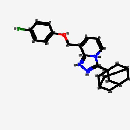 Fc1ccc(OCc2cccn3c(C45CC6CC(CC(C6)C4)C5)nnc23)cc1